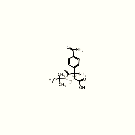 CC(C)(C)OC(=O)[C@](N)(c1ccc(C(N)=O)cc1)[C@@H](O)C(=O)O